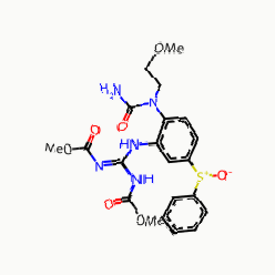 COCCN(C(N)=O)c1ccc([S+]([O-])c2ccccc2)cc1NC(=NC(=O)OC)NC(=O)OC